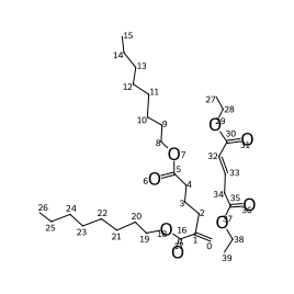 C=C(CCCC(=O)OCCCCCCCC)C(=O)OCCCCCCCC.CCOC(=O)C=CCC(=O)OCC